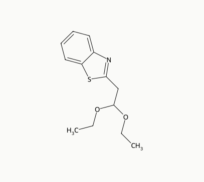 CCOC(Cc1nc2ccccc2s1)OCC